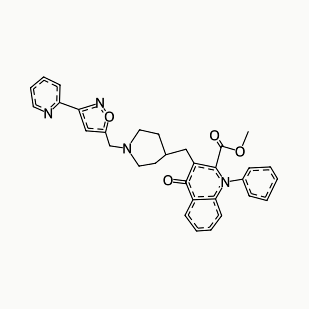 COC(=O)c1c(CC2CCN(Cc3cc(-c4ccccn4)no3)CC2)c(=O)c2ccccc2n1-c1ccccc1